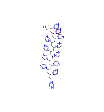 C=C(CC(CC(CC(CC(CC(CC(CC(CC(CC(CC(CCn1ccnc1)n1ccnc1)n1ccnc1)n1ccnc1)n1ccnc1)n1ccnc1)n1ccnc1)n1ccnc1)n1ccnc1)n1ccnc1)n1ccnc1)n1ccnc1